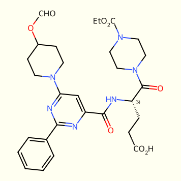 CCOC(=O)N1CCN(C(=O)[C@H](CCC(=O)O)NC(=O)c2cc(N3CCC(OC=O)CC3)nc(-c3ccccc3)n2)CC1